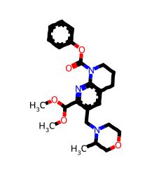 COC(OC)c1nc2c(cc1CN1CCOCC1C)CCCN2C(=O)Oc1ccccc1